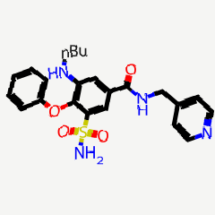 CCCCNc1cc(C(=O)NCc2ccncc2)cc(S(N)(=O)=O)c1Oc1ccccc1